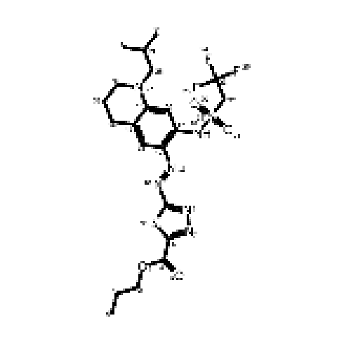 CCCOC(=O)c1nnc(N=Nc2cc3c(cc2NS(=O)(=O)CC(F)(F)F)N(CC(C)C)CCC3)s1